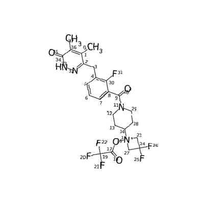 Cc1c(Cc2cccc(C(=O)N3CCC([N+]4(OC(=O)C(F)(F)F)CC(F)(F)C4)CC3)c2F)n[nH]c(=O)c1C